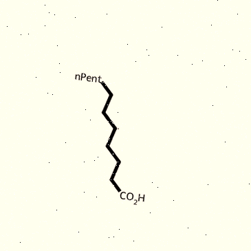 CCCCCCC[CH]CCCC(=O)O